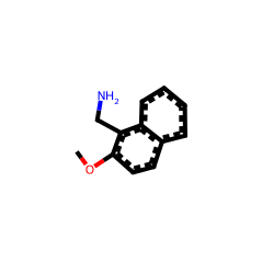 COc1ccc2ccccc2c1CN